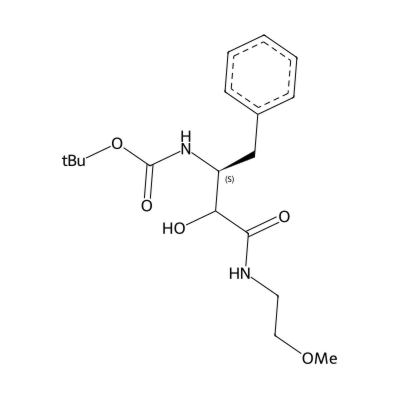 COCCNC(=O)C(O)[C@H](Cc1ccccc1)NC(=O)OC(C)(C)C